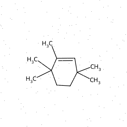 CC1=CC(C)(C)CCC1(C)C